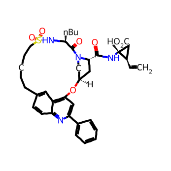 C=C[C@@H]1C[C@]1(NC(=O)[C@@H]1C[C@@H]2CN1C(=O)[C@H](CCCC)NS(=O)(=O)CCCCCc1ccc3nc(-c4ccccc4)cc(c3c1)O2)C(=O)O